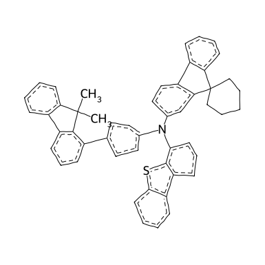 CC1(C)c2ccccc2-c2cccc(-c3ccc(N(c4ccc5c(c4)C4(CCCCC4)c4ccccc4-5)c4cccc5c4sc4ccccc45)cc3)c21